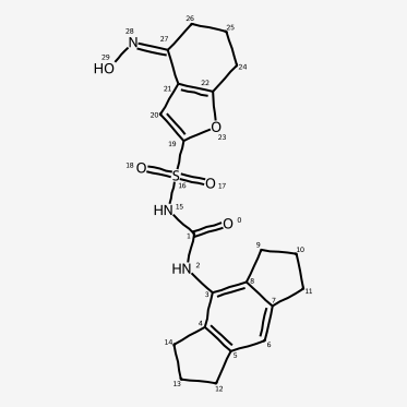 O=C(Nc1c2c(cc3c1CCC3)CCC2)NS(=O)(=O)c1cc2c(o1)CCC/C2=N/O